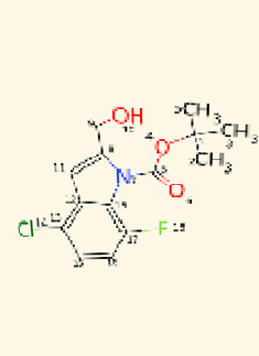 CC(C)(C)OC(=O)n1c(CO)cc2c(Cl)ccc(F)c21